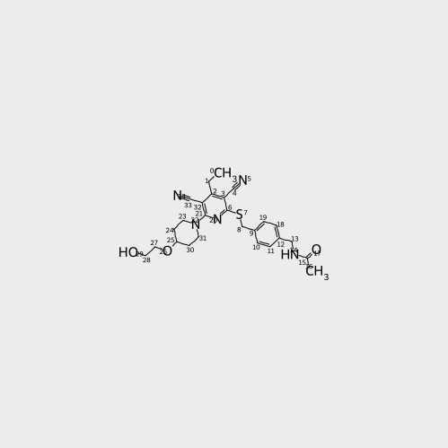 CCc1c(C#N)c(SCc2ccc(CNC(C)=O)cc2)nc(N2CCC(OCCO)CC2)c1C#N